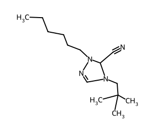 CCCCCCN1N=CN(CC(C)(C)C)C1C#N